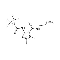 COCCNC(=O)c1c(NC(=O)C2C(C)(C)C2(C)C)sc(C)c1C